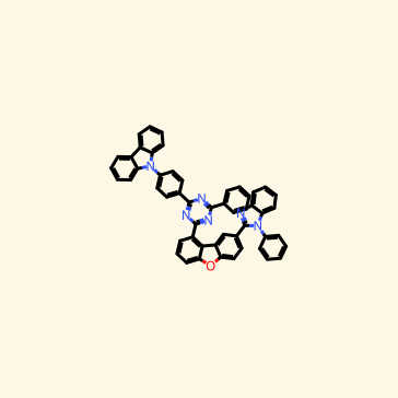 c1ccc(-c2nc(-c3ccc(-n4c5ccccc5c5ccccc54)cc3)nc(-c3cccc4oc5ccc(-c6nc7ccccc7n6-c6ccccc6)cc5c34)n2)cc1